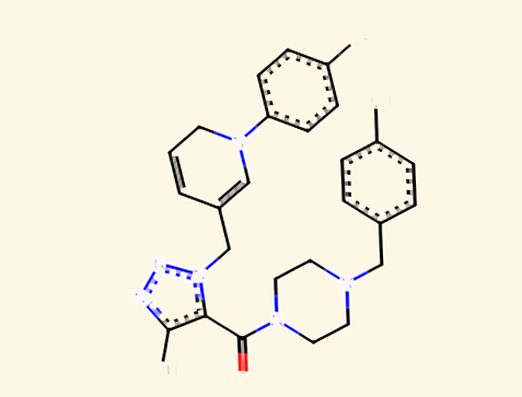 Cc1ccc(CN2CCN(C(=O)c3c(C)nnn3CC3=CN(c4ccc(C(F)(F)F)cc4)CC=C3)CC2)cc1